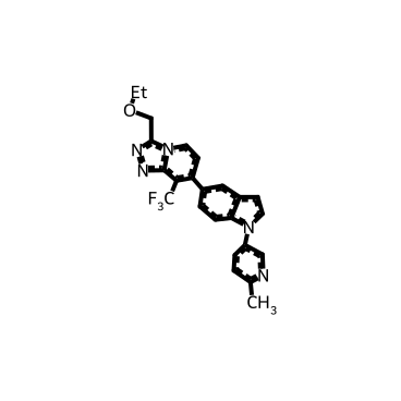 CCOCc1nnc2c(C(F)(F)F)c(-c3ccc4c(ccn4-c4ccc(C)nc4)c3)ccn12